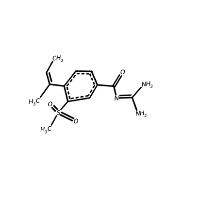 C/C=C(/C)c1ccc(C(=O)N=C(N)N)cc1S(C)(=O)=O